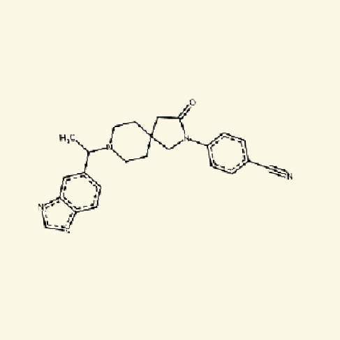 CC(c1ccc2scnc2c1)N1CCC2(CC1)CC(=O)N(c1ccc(C#N)cc1)C2